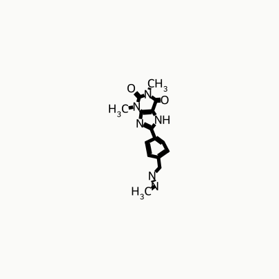 CN=NCc1ccc(-c2nc3c([nH]2)c(=O)n(C)c(=O)n3C)cc1